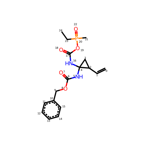 C=CC1CC1(NC(=O)OCc1ccccc1)NC(=O)OP(C)(=O)CC